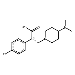 CC(C)C(=O)[C@H](CN1CCC(N(C)C)CC1)c1ccc(Cl)cc1